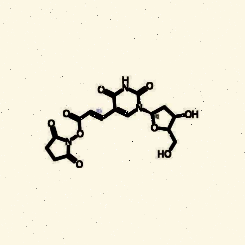 O=C(/C=C/c1cn([C@H]2CC(O)C(CO)O2)c(=O)[nH]c1=O)ON1C(=O)CCC1=O